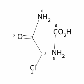 NC(=O)CCl.NC(=O)O